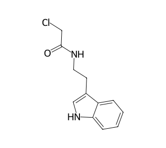 O=C(CCl)NCCc1c[nH]c2ccccc12